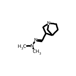 CN(C)N=CC1CN2CCC1C2